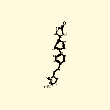 C[C@@H]1CCC(CCc2ccc(-c3ccc(C4COC(=O)N4)cc3)cc2)N1